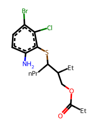 CCCC(Sc1c(N)ccc(Br)c1Cl)C(CC)COC(=O)CC